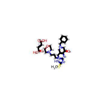 CSC1=NC2=NC3=C(CN(Cc4ccccc4)CC3=O)C[N+]2(CCCN2CCOCC2)N1.O=C(O)/C=C/C(=O)O